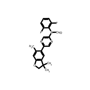 Cc1cc2c(cc1-c1cnc(N(C=O)c3c(F)cccc3F)cn1)C(C)(C)CO2